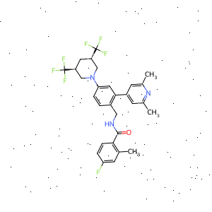 Cc1cc(-c2cc(N3C[C@H](C(F)(F)F)C[C@H](C(F)(F)F)C3)ccc2CNC(=O)c2ccc(F)cc2C)cc(C)n1